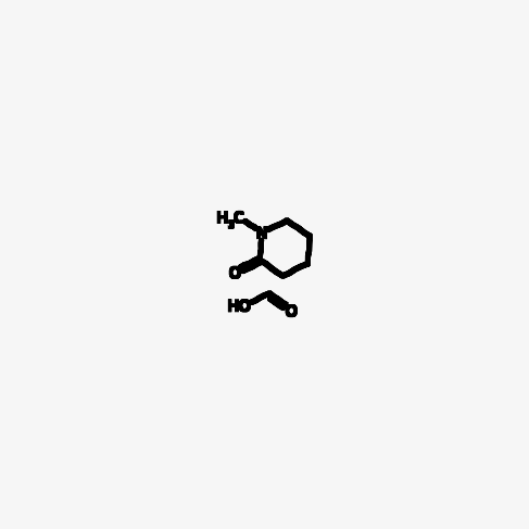 CN1CCCCC1=O.O=CO